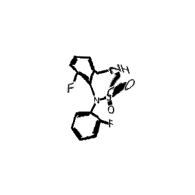 O=S1(=O)Nc2cccc(F)c2N1c1ccccc1F